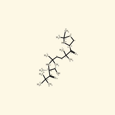 CC(C)(CCC(C)(C)C(=O)[C@@H]1COC(C)(C)N1)N[C@@](C)(CO)C(=O)C(C)(C)C